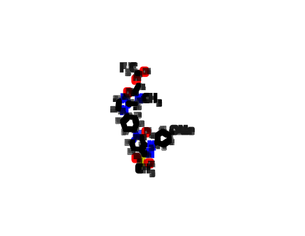 COc1ccc(-n2nc(S(C)(=O)=O)c3c2C(=O)N(c2ccc(-n4ccnc4CN(C)C(=O)COC(=O)C(F)(F)F)cc2)CC3)cc1